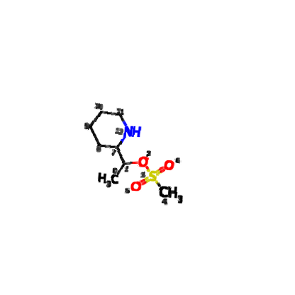 CC(OS(C)(=O)=O)C1CCCCN1